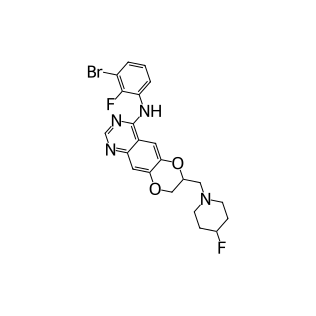 Fc1c(Br)cccc1Nc1ncnc2cc3c(cc12)OC(CN1CCC(F)CC1)CO3